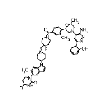 Cc1cc(C(=O)N2CCC(F)(CN3CCC(n4ccc5cc(N6CCC(=O)NC6=O)c(C)cc54)CC3)CC2)ccc1[C@@H]1CN(c2cc(-c3ccccc3O)nnc2N)C[C@H](C)O1